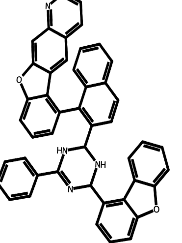 c1ccc(C2=NC(c3cccc4oc5ccccc5c34)NC(c3ccc4ccccc4c3-c3cccc4oc5cc6ncccc6cc5c34)N2)cc1